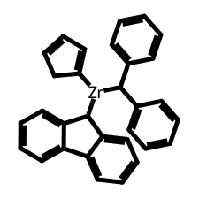 C1=CC[C]([Zr]([CH](c2ccccc2)c2ccccc2)[CH]2c3ccccc3-c3ccccc32)=C1